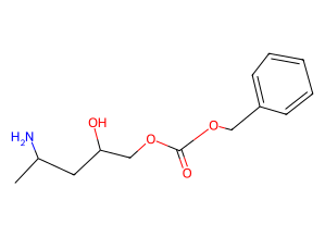 CC(N)CC(O)COC(=O)OCc1ccccc1